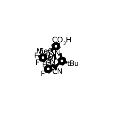 COc1cc(C(=O)O)ccc1N(Cc1cc(C2CC2)cc(C(C)(C)C)c1)C(=O)CN(Cc1ccc(F)cc1C#N)S(=O)(=O)c1c(F)c(F)c(F)c(F)c1F